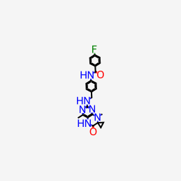 Cc1nc(NCc2ccc(NC(=O)c3ccc(F)cc3)cc2)nc2c1NC(=O)C1(CC1)N2C